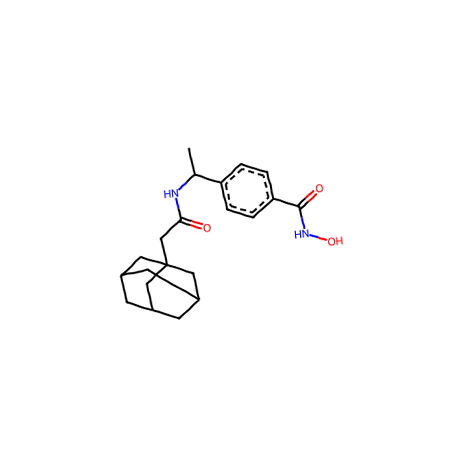 CC(NC(=O)CC12CC3CC(CC(C3)C1)C2)c1ccc(C(=O)NO)cc1